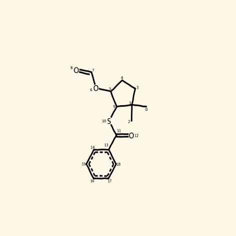 CC1(C)CCC(OC=O)C1SC(=O)c1ccccc1